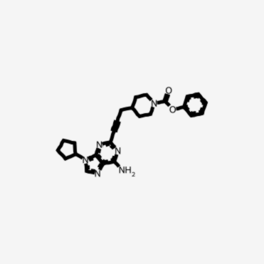 Nc1nc(C#CCC2CCN(C(=O)Oc3ccccc3)CC2)nc2c1ncn2C1CCCC1